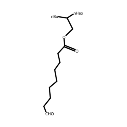 CCCCCCC(CCCC)COC(=O)CCCCCCCC=O